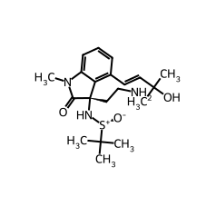 CN1C(=O)[C@@](CCN)(N[S@@+]([O-])C(C)(C)C)c2c(/C=C/C(C)(C)O)cccc21